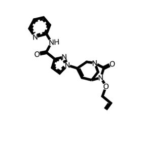 C=CCON1C(=O)N2CC(n3ccc(C(=O)Nc4ccccn4)n3)=CC1C2